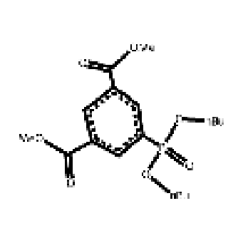 CCCCOP(=O)(OCCCC)c1cc(C(=O)OC)cc(C(=O)OC)c1